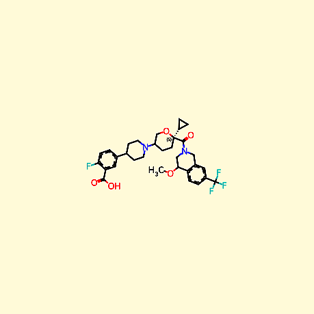 COC1CN(C(=O)[C@@]2(C3CC3)CCC(N3CCC(c4ccc(F)c(C(=O)O)c4)CC3)CO2)Cc2cc(C(F)(F)F)ccc21